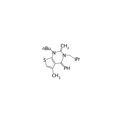 C=C1N(CC(C)C)C(=P)c2c(C)csc2N1CCCC